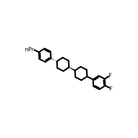 CCCc1ccc([C@H]2CC[C@H](C3CCC(c4ccc(F)c(F)c4)CC3)CC2)cc1